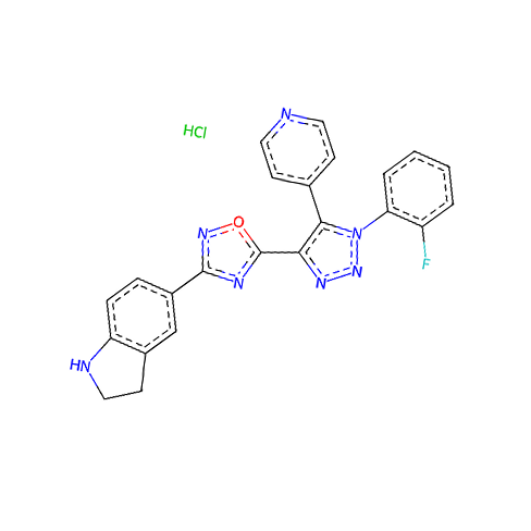 Cl.Fc1ccccc1-n1nnc(-c2nc(-c3ccc4c(c3)CCN4)no2)c1-c1ccncc1